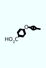 CC1C2C(Oc3ccc(C(=O)O)cc3)C12